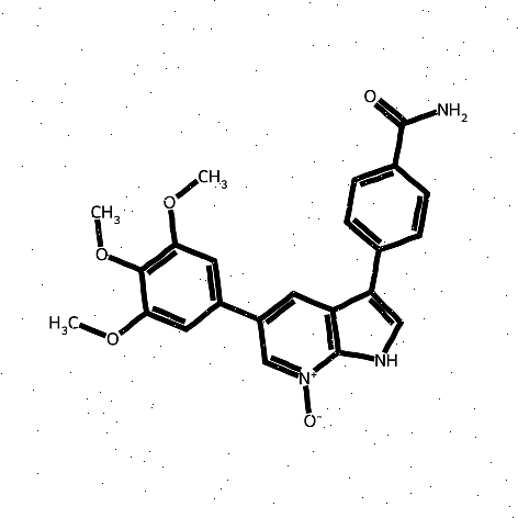 COc1cc(-c2cc3c(-c4ccc(C(N)=O)cc4)c[nH]c3[n+]([O-])c2)cc(OC)c1OC